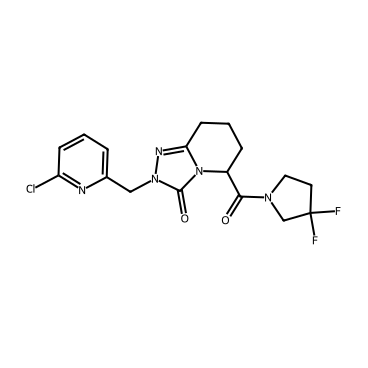 O=C(C1CCCc2nn(Cc3cccc(Cl)n3)c(=O)n21)N1CCC(F)(F)C1